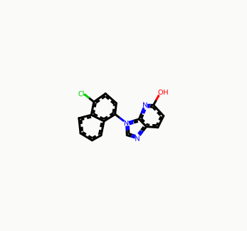 Oc1ccc2ncn(-c3ccc(Cl)c4ccccc34)c2n1